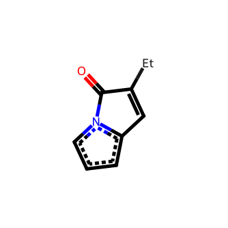 CCC1=Cc2cccn2C1=O